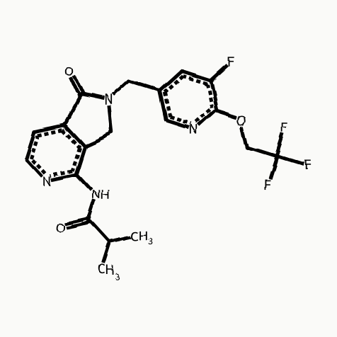 CC(C)C(=O)Nc1nccc2c1CN(Cc1cnc(OCC(F)(F)F)c(F)c1)C2=O